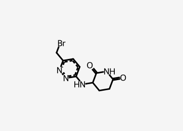 O=C1CCC(Nc2ccc(CBr)nn2)C(=O)N1